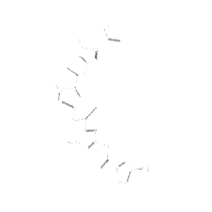 C=C(Nc1cc(C(=C)Nc2cc(C(=C)C(C)(C)C)n(C)c2)n(C)c1)c1cc(NC(=C)c2cc(NC(C)(C)C)cn2C)cn1C